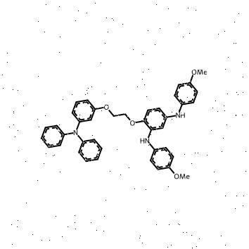 COc1ccc(Nc2ccc(OCCOc3cccc(N(c4ccccc4)c4ccccc4)c3)c(Nc3ccc(OC)cc3)c2)cc1